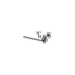 CCCCCCCCCCCCCCCCCC(=O)OC(=O)[C@@H](N)CCC(=O)[O-].[K+]